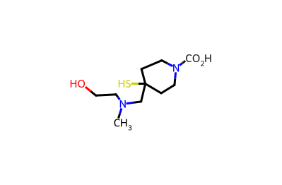 CN(CCO)CC1(S)CCN(C(=O)O)CC1